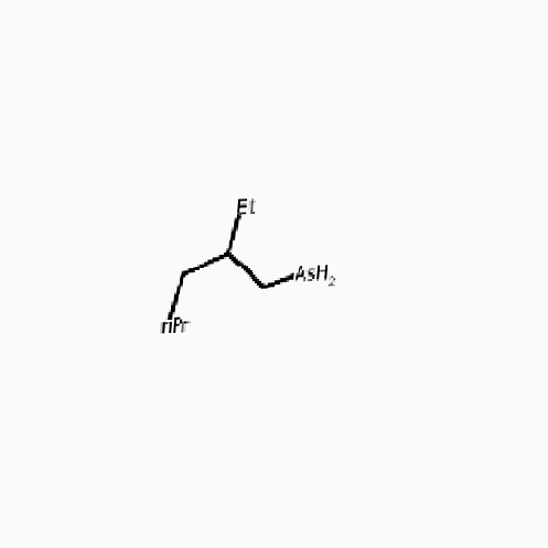 CCCCC(CC)C[AsH2]